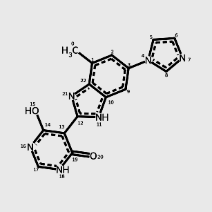 Cc1cc(-n2ccnc2)cc2[nH]c(-c3c(O)nc[nH]c3=O)nc12